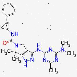 Cc1nc(Nc2n[nH]c3c2CN(C(=O)NC2C[C@@H]2c2ccccc2)C3(C)C)nc(N(C)C)n1